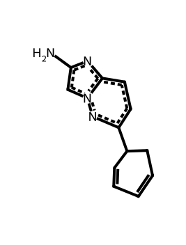 Nc1cn2nc(C3C=CC=CC3)ccc2n1